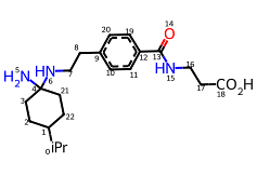 CC(C)C1CCC(N)(NCCc2ccc(C(=O)NCCC(=O)O)cc2)CC1